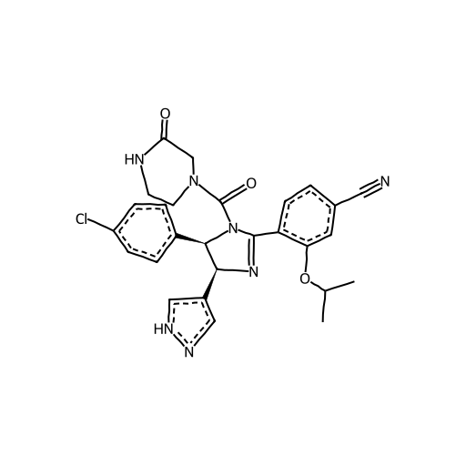 CC(C)Oc1cc(C#N)ccc1C1=N[C@@H](c2cn[nH]c2)[C@@H](c2ccc(Cl)cc2)N1C(=O)N1CCNC(=O)C1